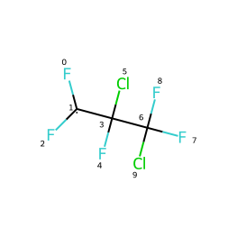 F[C](F)C(F)(Cl)C(F)(F)Cl